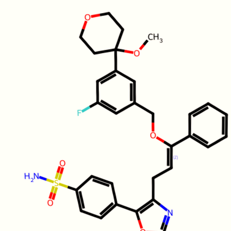 COC1(c2cc(F)cc(CO/C(=C\Cc3ncoc3-c3ccc(S(N)(=O)=O)cc3)c3ccccc3)c2)CCOCC1